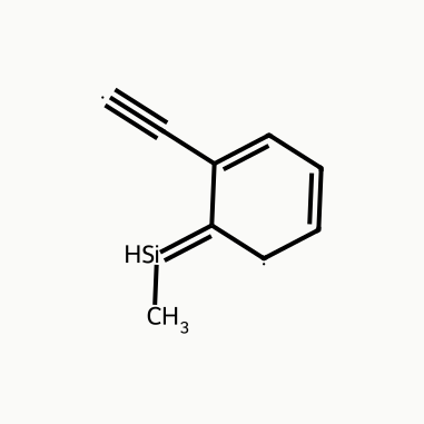 [C]#CC1=CC=C[CH]C1=[SiH]C